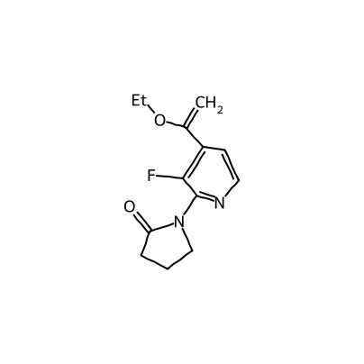 C=C(OCC)c1ccnc(N2CCCC2=O)c1F